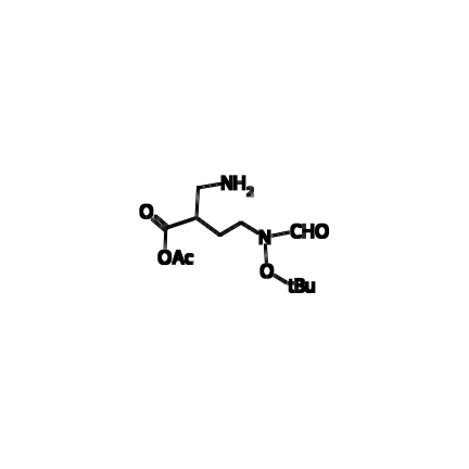 CC(=O)OC(=O)C(CN)CCN(C=O)OC(C)(C)C